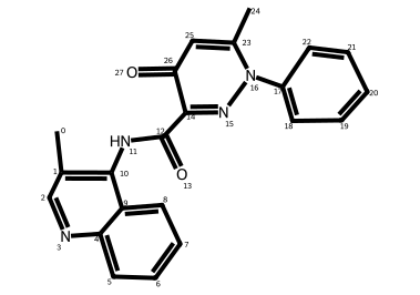 Cc1cnc2ccccc2c1NC(=O)c1nn(-c2ccccc2)c(C)cc1=O